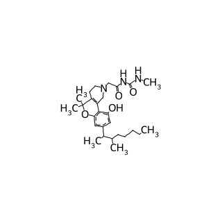 CCCCCC(C)C(C)c1cc(O)c2c(c1)OC(C)(C)C1=C2CN(CC(=O)NC(=O)NC)CC1